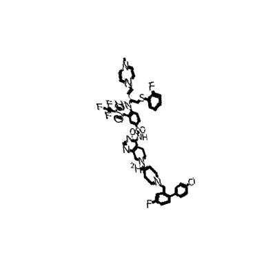 [2H]C1(N2CCc3c(ncnc3NS(=O)(=O)c3ccc(N[C@H](CCN4CCN(C)CC4)CSc4ccccc4F)c(S(=O)(=O)C(F)(F)F)c3)C2)CCN(Cc2cc(F)ccc2-c2ccc(Cl)cc2)CC1